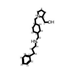 OCC1CCCN1CC1CCC(CNCCCc2ccccc2)CC1